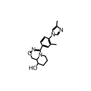 Cc1cn(-c2ccc(C3=NOCC4C(O)CCCN34)cc2C)cn1